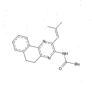 CCC(C)C(=O)Nc1nc2c(nc1C=C(C)C)-c1ccccc1CC2